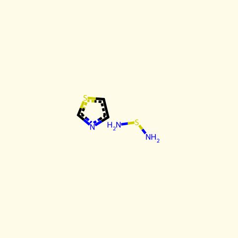 NSN.c1cscn1